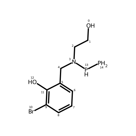 OCCN(Cc1cccc(Br)c1O)PP